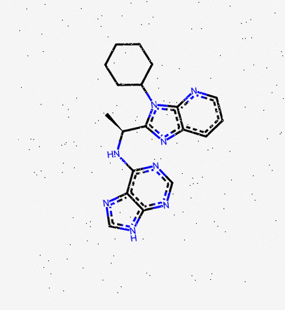 C[C@H](Nc1ncnc2[nH]cnc12)c1nc2cccnc2n1C1CCCCC1